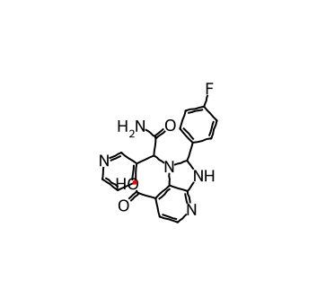 NC(=O)C(c1cccnc1)N1c2c(C(=O)O)ccnc2NC1c1ccc(F)cc1